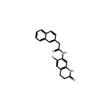 O=C(Cc1ccc2ccccc2c1)Nc1cc2c(cc1F)CCC(=O)N2